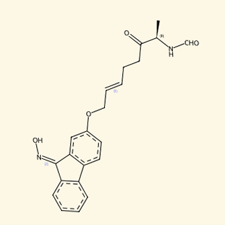 C[C@@H](NC=O)C(=O)CC/C=C/COc1ccc2c(c1)/C(=N\O)c1ccccc1-2